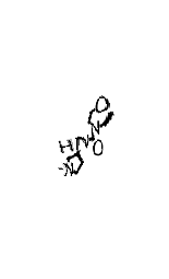 O=C(NC1CC[N]C1)N1CCOCC1